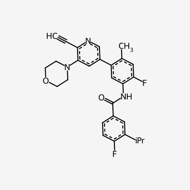 C#Cc1ncc(-c2cc(NC(=O)c3ccc(F)c(C(C)C)c3)c(F)cc2C)cc1N1CCOCC1